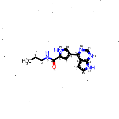 CCCNC(=O)c1cc(-c2ncnc3[nH]ccc23)c[nH]1